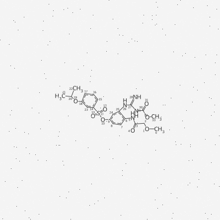 COCC(=O)Nc1ccc(OS(=O)(=O)c2cccc(OC(C)C)c2)cc1NC(=N)NC(=O)OC